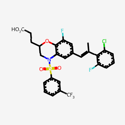 C/C(=C\c1cc(F)c2c(c1)N(S(=O)(=O)c1cccc(C(F)(F)F)c1)CC(CCC(=O)O)O2)c1c(F)cccc1Cl